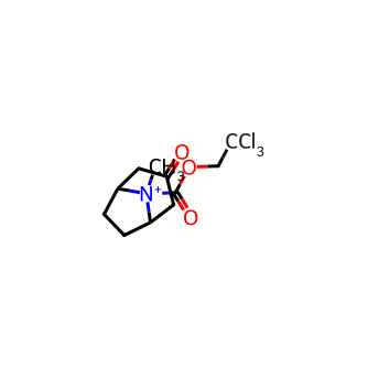 C[N+]1(C(=O)OCC(Cl)(Cl)Cl)C2CCC1CC(=O)C2